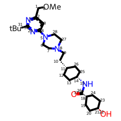 COCc1cc(N2CCN(CC[C@H]3CC[C@@H](NC(=O)[C@H]4CC[C@@H](O)CC4)CC3)CC2)nc(C(C)(C)C)n1